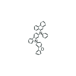 c1ccc(N(c2ccc3c4ccccc4n(-c4ccc5oc6ccccc6c5c4)c3c2)c2cc3ccccc3c3ccccc23)cc1